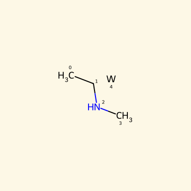 CCNC.[W]